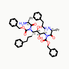 CC(C)[C@H](N)C(=O)N(C(=O)OCc1ccccc1)[C@@H](CCCc1ccccc1)[C@@H](O)[C@H](O)[C@H](CCCc1ccccc1)N(C(=O)OCc1ccccc1)C(=O)[C@@H](N)C(C)C